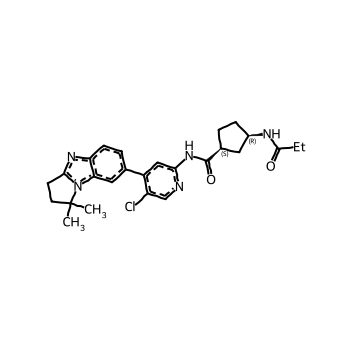 CCC(=O)N[C@@H]1CC[C@H](C(=O)Nc2cc(-c3ccc4nc5n(c4c3)C(C)(C)CC5)c(Cl)cn2)C1